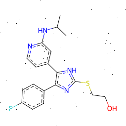 CC(C)Nc1cc(-c2[nH]c(SCCO)nc2-c2ccc(F)cc2)ccn1